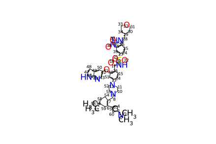 CN(C)C12CC(C3=C(CN4CCN(c5ccc(C(=O)NS(=O)(=O)c6ccc(NCC7CCOCC7)c([N+](=O)[O-])c6)c(Oc6cnc7[nH]ccc7c6)c5)CC4)CCC(C)(C)C3)(C1)C2